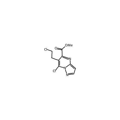 COC(=O)c1nc2ccnn2c(Cl)c1CCCl